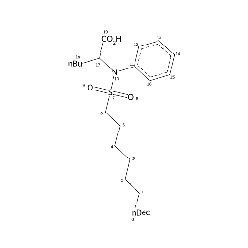 CCCCCCCCCCCCCCCCS(=O)(=O)N(c1ccccc1)C(CCCC)C(=O)O